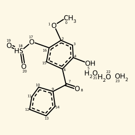 COc1cc(O)c(C(=O)c2ccccc2)cc1O[SH](=O)=O.O.O.O